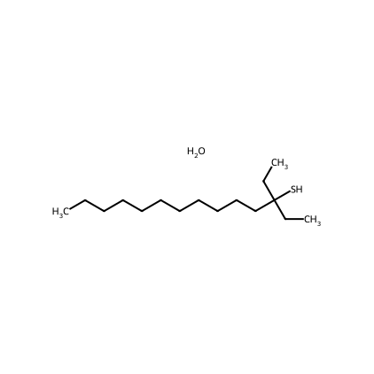 CCCCCCCCCCCC(S)(CC)CC.O